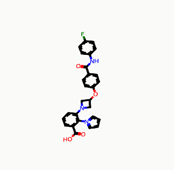 O=C(Nc1ccc(F)cc1)c1ccc(OC2CN(c3cccc(C(=O)O)c3-n3cccc3)C2)cc1